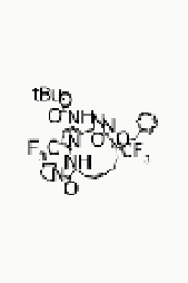 CC(C)(C)OC(=O)Nc1cc(C(F)(F)F)c2nc1-c1nnc(o1)[C@@](OCc1ccccc1)(C(F)(F)F)CCC=CCC(C(=O)N1CCCC1)N2